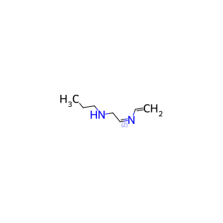 C=C/N=C\CNCCC